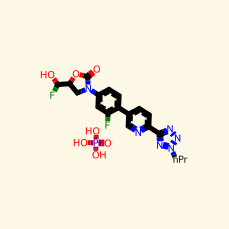 CCCn1nnc(-c2ccc(-c3ccc(N4CC(C(O)F)OC4=O)cc3F)cn2)n1.O=P(O)(O)O